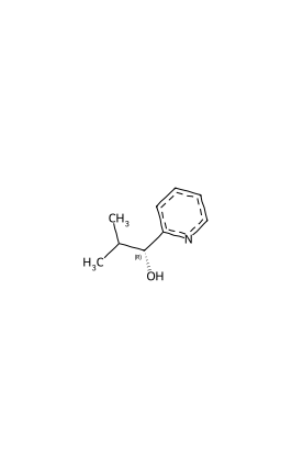 CC(C)[C@@H](O)c1ccccn1